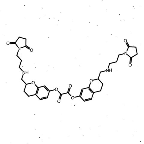 O=C(Oc1ccc2c(c1)OC(CNCCCN1C(=O)CCC1=O)CC2)C(=O)Oc1ccc2c(c1)OC(CNCCCN1C(=O)CCC1=O)CC2